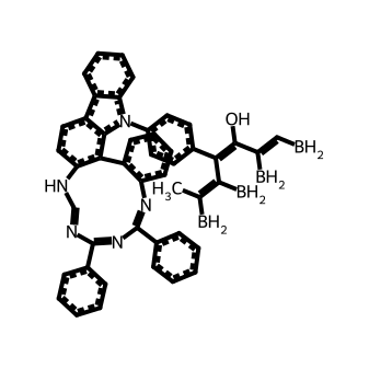 B/C=C(B)/C(O)=C(\C(B)=C(\B)C)c1ccc(-n2c3ccccc3c3ccc4c(c32)-c2ccccc2\N=C(c2ccccc2)/N=C(c2ccccc2)\N=C\N4)cc1